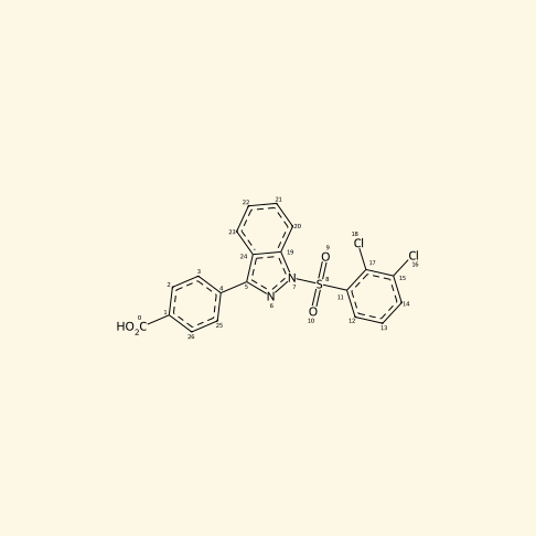 O=C(O)c1ccc(-c2nn(S(=O)(=O)c3cccc(Cl)c3Cl)c3ccccc23)cc1